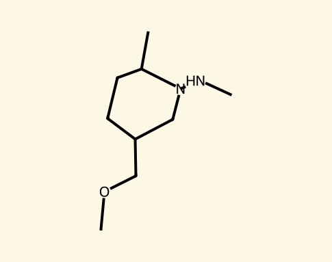 CNN1CC(COC)CCC1C